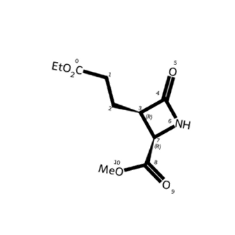 CCOC(=O)CC[C@H]1C(=O)N[C@H]1C(=O)OC